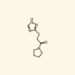 O=C(CSc1nc[nH]n1)N1CCCC1